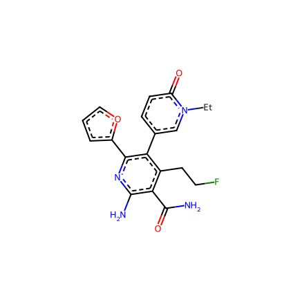 CCn1cc(-c2c(-c3ccco3)nc(N)c(C(N)=O)c2CCF)ccc1=O